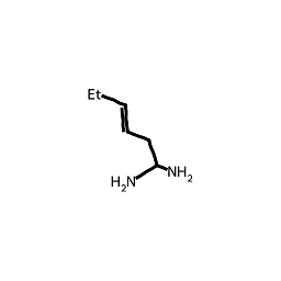 CCC=CCC(N)N